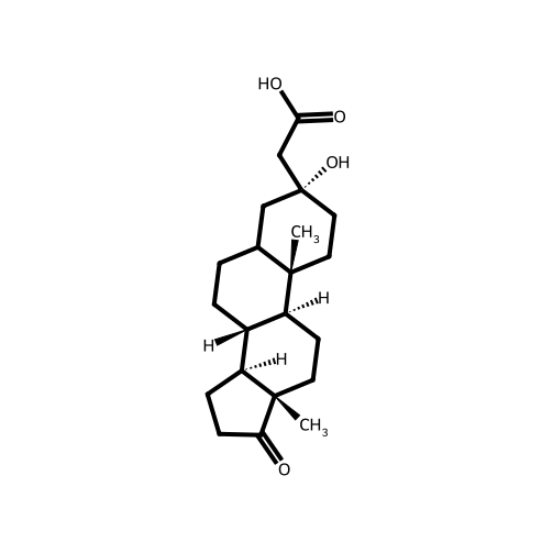 C[C@]12CC[C@](O)(CC(=O)O)CC1CC[C@@H]1[C@@H]2CC[C@]2(C)C(=O)CC[C@@H]12